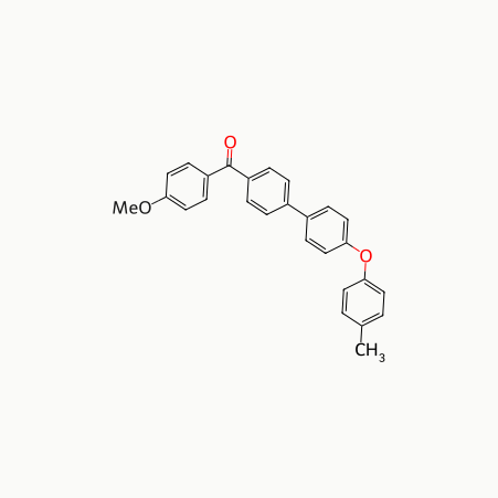 COc1ccc(C(=O)c2ccc(-c3ccc(Oc4ccc(C)cc4)cc3)cc2)cc1